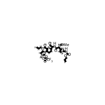 C=CCOC(=O)Nc1nc(C(=NOC)C(=O)NC2C(=O)N3C(C(=O)OCC=C)=C(N4C=CN(C)C4OS(=O)(=O)C(F)(F)F)CCC23)cs1